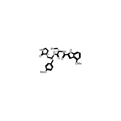 COc1ccc(C[C@H](C[C@@H]2CCNC2=O)NC(=O)[C@H](CC(C)C)NC(=O)c2cc3c(OC)cccc3[nH]2)cc1